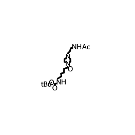 CC(=O)NCCCN1CCN(C(=O)CCCCCNC(=O)OC(C)(C)C)CC1